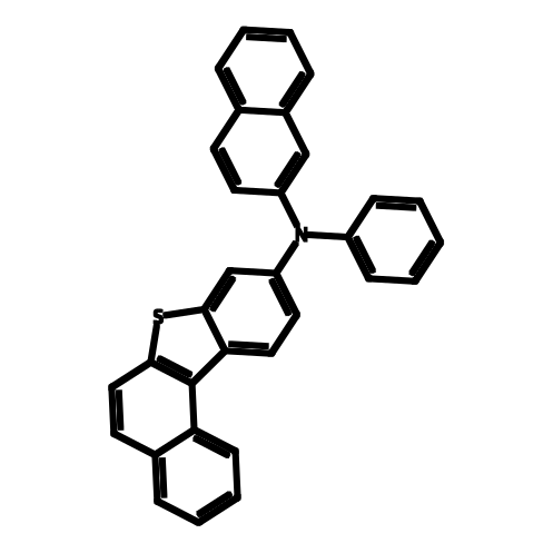 c1ccc(N(c2ccc3ccccc3c2)c2ccc3c(c2)sc2ccc4ccccc4c23)cc1